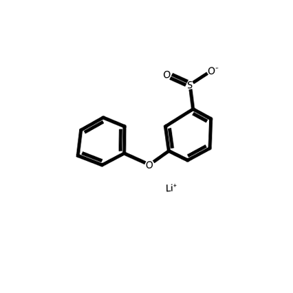 O=S([O-])c1cccc(Oc2ccccc2)c1.[Li+]